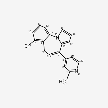 Cc1cc(C2=NCc3c(Cl)cccc3-n3cccc32)ccn1